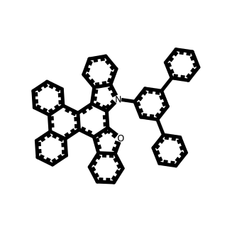 c1ccc(-c2cc(-c3ccccc3)cc(-n3c4ccccc4c4c5c6ccccc6c6ccccc6c5c5c6ccccc6oc5c43)c2)cc1